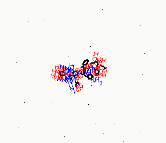 CC(C)CC(=O)OC1C(OC2C(CO)OC(Oc3ccc(CC(NC(=O)C(N)C(C)c4ccccc4)C(=O)NC(C(=O)NC(C(=O)NC([C]=O)CO)C(O)C4CNC(=N)N4C4OC(CO)C(O)C(O)C4O)C(O)C4CNC(=N)N4)cc3N)C(O)C2O)OC(CO)C(O)C1O